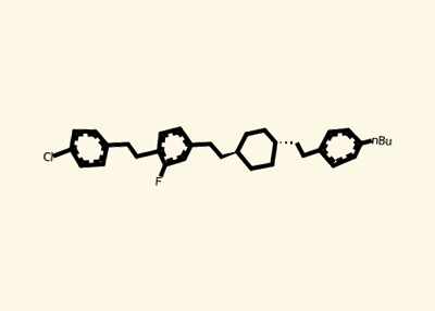 CCCCc1ccc(CC[C@H]2CC[C@H](CCc3ccc(CCc4ccc(Cl)cc4)c(F)c3)CC2)cc1